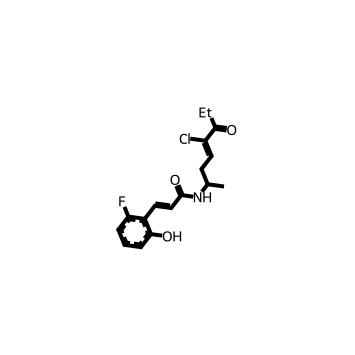 CCC(=O)/C(Cl)=C/CC(C)NC(=O)/C=C/c1c(O)cccc1F